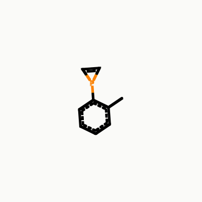 Cc1ccccc1P1C=C1